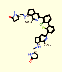 COc1nc(-c2cccc(-c3cccc(-c4cc5c(c(OC)n4)[C@H](NC[C@@H]4CCC(=O)N4)CC5)c3Cl)c2F)cc2c1[C@@H](NC[C@@H]1CCC(=O)N1)CC2